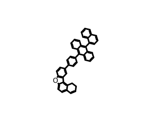 C1=Cc2ccc3oc4ccc(-c5ccc(-c6c7ccccc7c(-c7cccc8ccccc78)c7ccccc67)cc5)cc4c3c2CC1